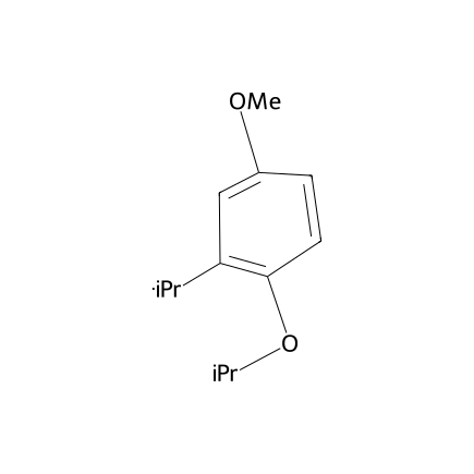 COc1ccc(OC(C)C)c([C](C)C)c1